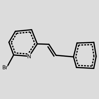 Brc1cccc(C=Cc2ccccc2)n1